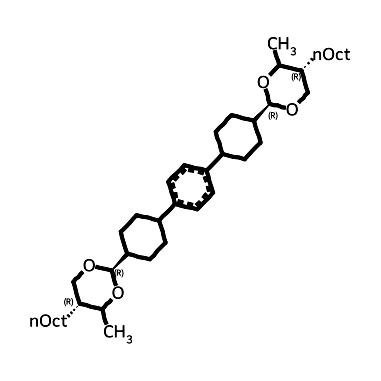 CCCCCCCC[C@@H]1CO[C@@H](C2CCC(c3ccc(C4CCC([C@@H]5OC[C@@H](CCCCCCCC)C(C)O5)CC4)cc3)CC2)OC1C